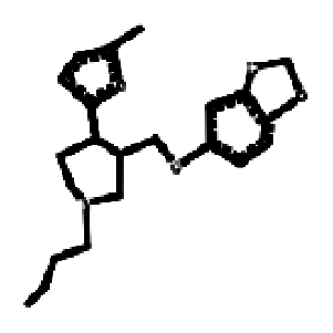 CCCCN1CCC(c2ccc(C)o2)C(COc2ccc3c(c2)OCO3)C1